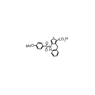 COc1ccc(S(=O)(=O)Nc2csc(C(=O)O)c2Cc2ccccc2)cc1